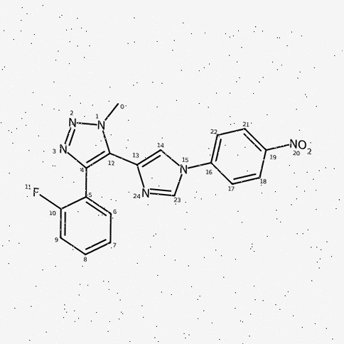 Cn1nnc(-c2ccccc2F)c1-c1cn(-c2ccc([N+](=O)[O-])cc2)cn1